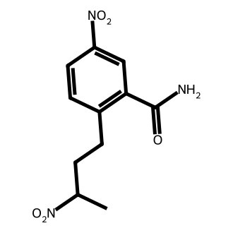 CC(CCc1ccc([N+](=O)[O-])cc1C(N)=O)[N+](=O)[O-]